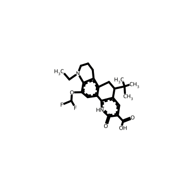 CCN1CCCc2c3c(cc(OC(F)F)c21)-c1[nH]c(=O)c(C(=O)O)cc1C(C(C)(C)C)C3